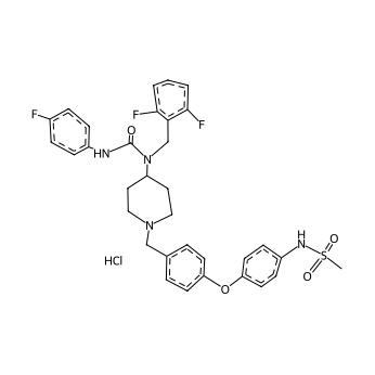 CS(=O)(=O)Nc1ccc(Oc2ccc(CN3CCC(N(Cc4c(F)cccc4F)C(=O)Nc4ccc(F)cc4)CC3)cc2)cc1.Cl